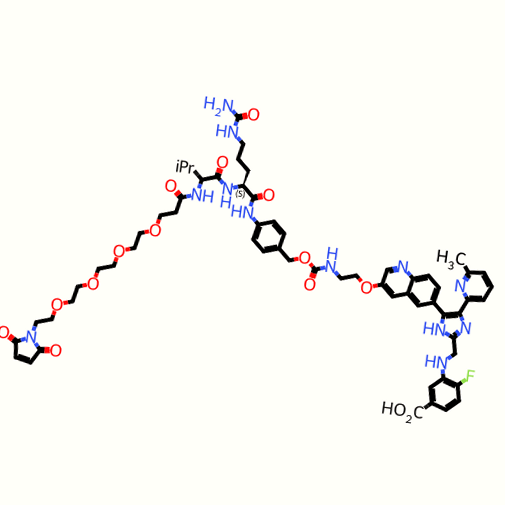 Cc1cccc(-c2nc(CNc3cc(C(=O)O)ccc3F)[nH]c2-c2ccc3ncc(OCCNC(=O)OCc4ccc(NC(=O)[C@H](CCCNC(N)=O)NC(=O)C(NC(=O)CCOCCOCCOCCOCCN5C(=O)C=CC5=O)C(C)C)cc4)cc3c2)n1